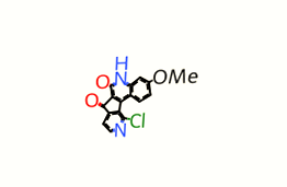 COc1ccc2c3c(c(=O)[nH]c2c1)C(=O)c1ccnc(Cl)c1-3